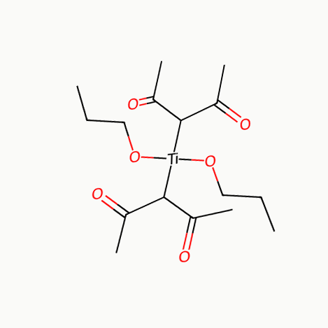 CCC[O][Ti]([O]CCC)([CH](C(C)=O)C(C)=O)[CH](C(C)=O)C(C)=O